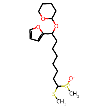 CSC(CCCCCCC(OC1CCCCO1)c1ccco1)[S+](C)[O-]